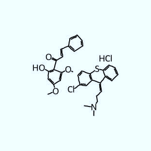 CN(C)CCC=C1c2ccccc2Sc2ccc(Cl)cc21.COc1cc(O)c(C(=O)C=Cc2ccccc2)c(OC)c1.Cl